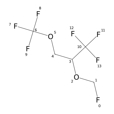 FCOC(COC(F)(F)F)C(F)(F)F